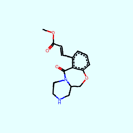 COC(=O)C=Cc1cccc2c1C(=O)N1CCNCC1CO2